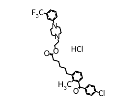 Cc1c(CCCCCC(=O)OCCN2CCN(c3cccc(C(F)(F)F)c3)CC2)cccc1C(=O)c1ccc(Cl)cc1.Cl